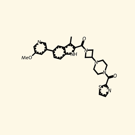 COc1cncc(-c2ccc3[nH]c(C(=O)N4CC(N5CCN(C(=O)c6nccs6)CC5)C4)c(C)c3c2)c1